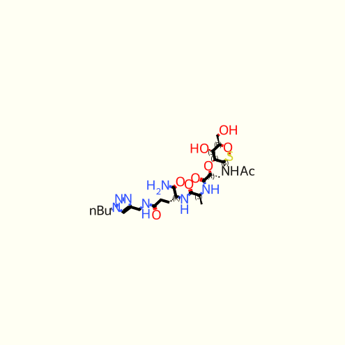 CCCCn1cc(CNC(=O)CC[C@@H](NC(=O)[C@H](C)NC(=O)[C@@H](C)O[C@H]2[C@H](O)[C@@H](CO)OS[C@@H]2NC(C)=O)C(N)=O)nn1